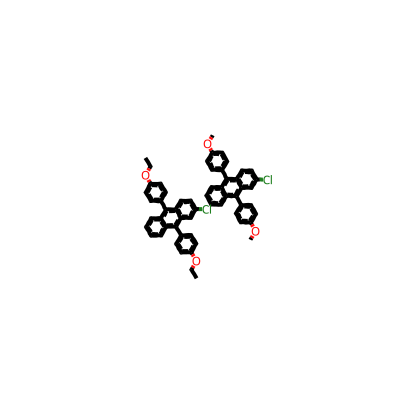 CCOc1ccc(-c2c3ccccc3c(-c3ccc(OCC)cc3)c3cc(Cl)ccc23)cc1.COc1ccc(-c2c3ccccc3c(-c3ccc(OC)cc3)c3cc(Cl)ccc23)cc1